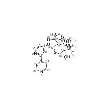 CC(=O)[C@]1(O)[C@@](O)(C(C)=O)CS[C@H](Oc2ccnc(-c3ccncc3)c2)[C@@]1(O)C(C)=O